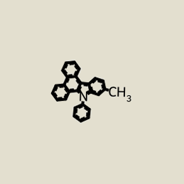 Cc1ccc2c3c4ccccc4c4ccccc4c3n(-c3ccccc3)c2c1